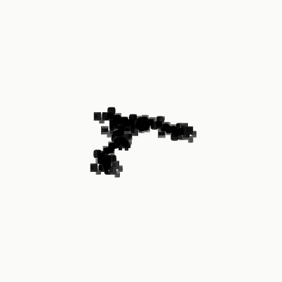 CC(C)C(NC(CCCCCN1C(=O)CC(C(C)(C)C)C1=O)C(F)(F)F)C(=O)NC(CCCNC(N)=O)C(=O)Nc1ccc(COC(=O)NCCCC(=O)C(C)(C)C)cc1